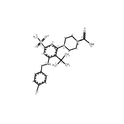 CC(C)(C)c1c(NCc2ccc(Cl)cc2)nc(S(C)(=O)=O)nc1N1CCN(C(=O)O)CC1